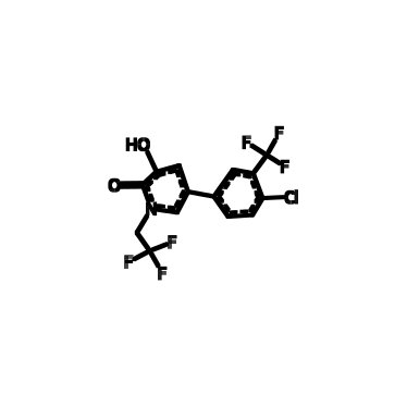 O=c1c(O)cc(-c2ccc(Cl)c(C(F)(F)F)c2)cn1CC(F)(F)F